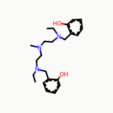 CCN(CCN(C)CCN(CC)Cc1ccccc1O)Cc1ccccc1O